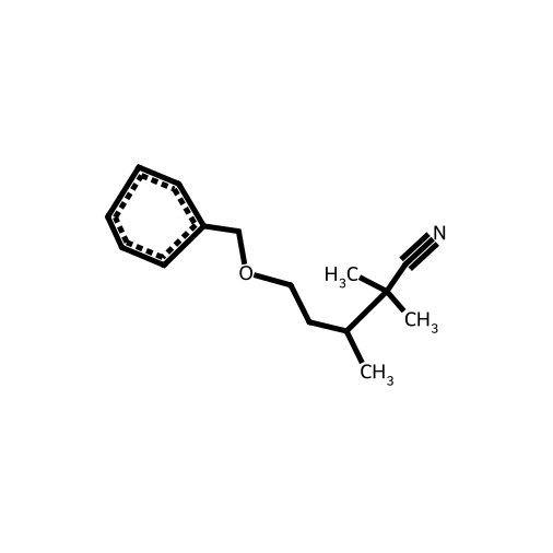 CC(CCOCc1ccccc1)C(C)(C)C#N